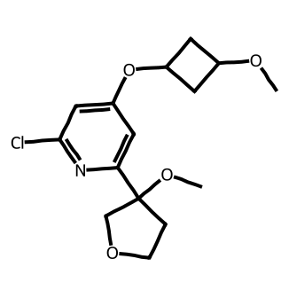 COC1CC(Oc2cc(Cl)nc(C3(OC)CCOC3)c2)C1